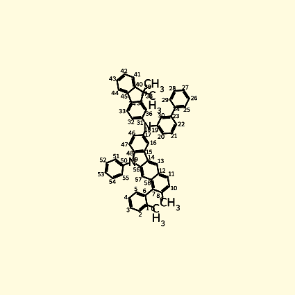 Cc1ccccc1-c1c(C)ccc2cc3c4cc(N(c5cccc(-c6ccccc6)c5)c5ccc6c(c5)C(C)(C)c5ccccc5-6)ccc4n(-c4ccccc4)c3cc12